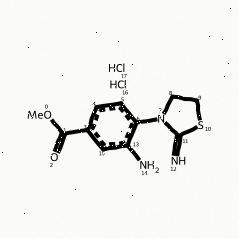 COC(=O)c1ccc(N2CCSC2=N)c(N)c1.Cl.Cl